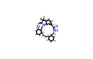 C=C1N2Cc3c(CC)cccc3CCc3ccccc3CNC(=O)c3ccc(c2c3)C1(C)C